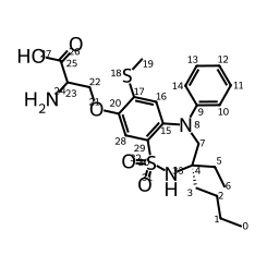 CCCC[C@@]1(CC)CN(c2ccccc2)c2cc(SC)c(OCC(N)C(=O)O)cc2S(=O)(=O)N1